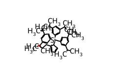 CCCCC1=CC=C[C]1[Si](c1cc(C(C)C)cc(C(C)C)c1)(c1cc(C(C)C)cc(C(C)C)c1)c1cc(C(C)C)cc(C(C)C)c1